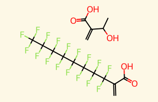 C=C(C(=O)O)C(C)O.C=C(C(=O)O)C(F)(F)C(F)(F)C(F)(F)C(F)(F)C(F)(F)C(F)(F)C(F)(F)C(F)(F)F